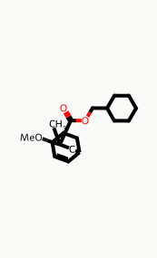 COC12C=CC(CC1)CC2(C)C(=O)OCC1CCCCC1